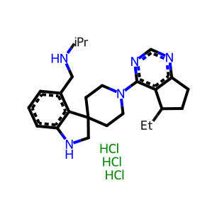 CCC1CCc2ncnc(N3CCC4(CC3)CNc3cccc(CNC(C)C)c34)c21.Cl.Cl.Cl